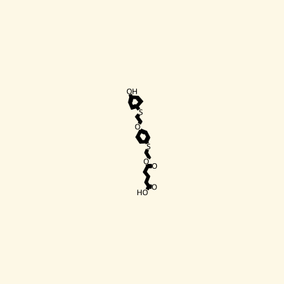 O=C(O)CCCC(=O)OCCSc1ccc(OCCSc2ccc(O)cc2)cc1